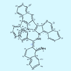 N=C1/C(=C(\Nn2c3c4ccccc4ccc3c3c4cc5ccccc5c5c6ccccc6n(c45)c32)c2cccnc2)C=Cc2ccccc21